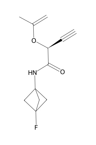 C#C[C@H](OC(=C)C)C(=O)NC12CC(F)(C1)C2